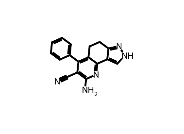 N#Cc1c(N)nc2c(c1-c1ccccc1)CCc1n[nH]cc1-2